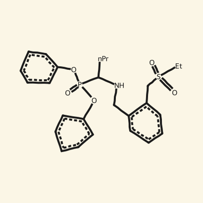 CCCC(NCc1ccccc1CS(=O)(=O)CC)P(=O)(Oc1ccccc1)Oc1ccccc1